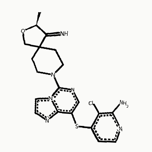 C[C@@H]1OCC2(CCN(c3ncc(Sc4ccnc(N)c4Cl)c4nccn34)CC2)C1=N